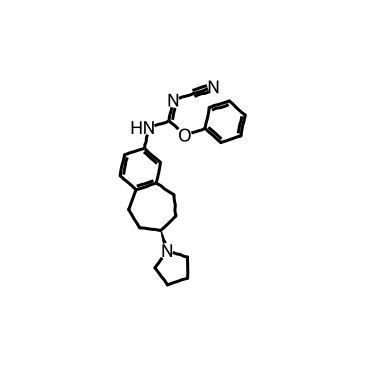 N#CN=C(Nc1ccc2c(c1)CC[C@@H](N1CCCC1)CC2)Oc1ccccc1